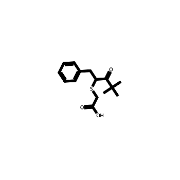 CC(C)(C)C(=O)C(Cc1ccccc1)SCC(=O)O